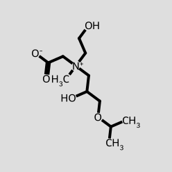 CC(C)OCC(O)C[N+](C)(CCO)CC(=O)[O-]